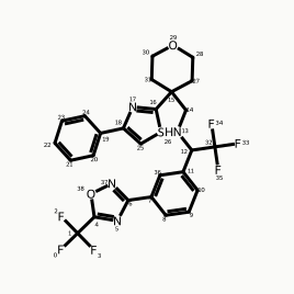 FC(F)(F)c1nc(-c2cccc(C(NCC3(c4nc(-c5ccccc5)cs4)CCOCC3)C(F)(F)F)c2)no1